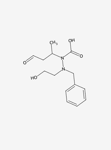 CC(CC=O)N(C(=O)O)N(CCO)Cc1ccccc1